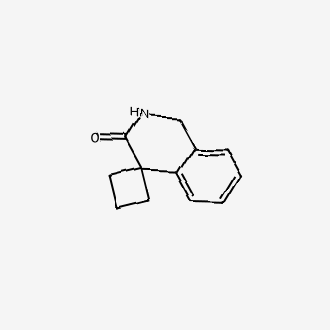 O=C1NCc2ccccc2C12CCC2